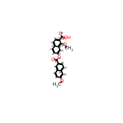 COc1ccc2cc(C(=O)Oc3ccc4ccc(C(=O)O)c(OC)c4c3)ccc2c1